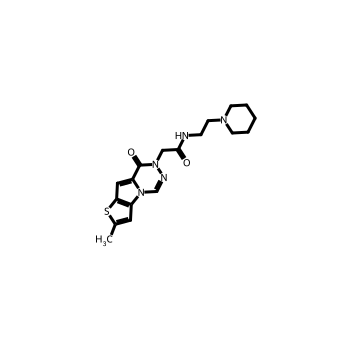 Cc1cc2c(cc3c(=O)n(CC(=O)NCCN4CCCCC4)ncn32)s1